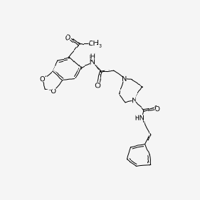 CC(=O)c1cc2c(cc1NC(=O)CN1CCN(C(=O)NCc3ccccc3)CC1)OCO2